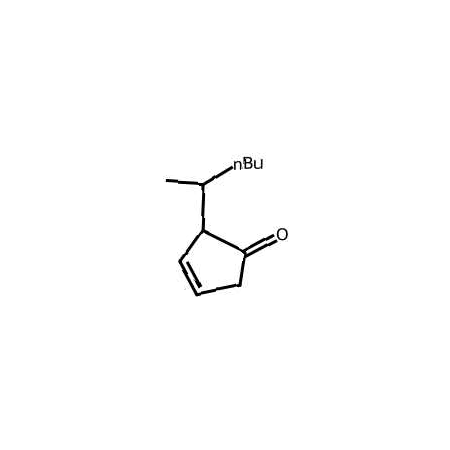 CCCCC(C)C1C=CCC1=O